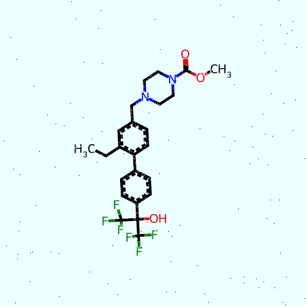 CCc1cc(CN2CCN(C(=O)OC)CC2)ccc1-c1ccc(C(O)(C(F)(F)F)C(F)(F)F)cc1